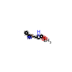 CS(=O)(=O)Oc1ccc2c(c1)CCC(CCCSc1cc(-c3ccccc3)cnn1)CN2